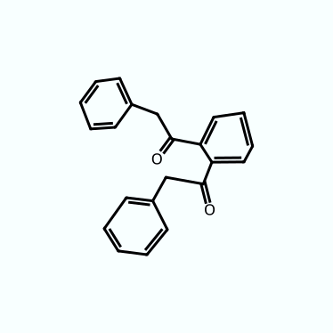 O=C(Cc1ccccc1)c1ccccc1C(=O)Cc1ccccc1